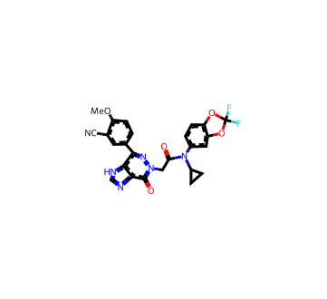 COc1ccc(-c2nn(CC(=O)N(c3ccc4c(c3)OC(F)(F)O4)C3CC3)c(=O)c3nc[nH]c23)cc1C#N